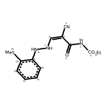 CCOC(=O)NC(=O)C(C#N)=CNNc1ccccc1SC